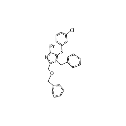 CC(C)c1nc(COCc2ccccc2)n(Cc2ccccc2)c1Sc1cccc(Cl)c1